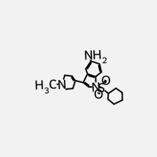 CN1CC=C(c2cn(S(=O)(=O)C3CCCCC3)c3ccc(N)cc23)CC1